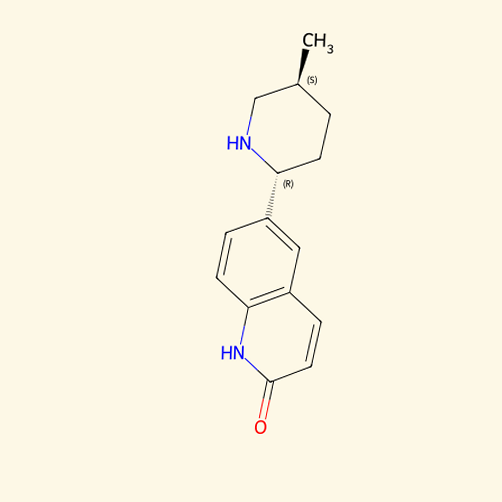 C[C@H]1CC[C@H](c2ccc3[nH]c(=O)ccc3c2)NC1